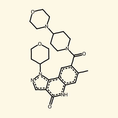 Cc1cc2[nH]c(=O)c3cnn(C4CCOCC4)c3c2cc1C(=O)N1CCC(N2CCOCC2)CC1